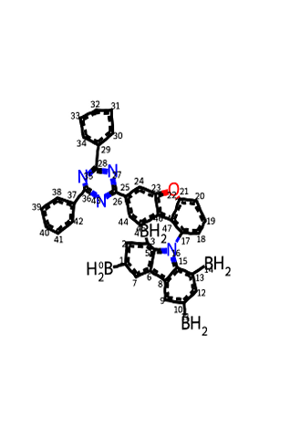 Bc1cc(B)c2c(c1)c1cc(B)cc(B)c1n2-c1cccc2oc3cc(-c4nc(-c5ccccc5)nc(-c5ccccc5)n4)ccc3c12